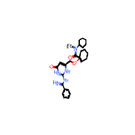 CCN(C(=O)C1(OCC2=CC(=O)NC(NC(=N)c3ccccc3)N2)CCCCC1)C1CCCCC1